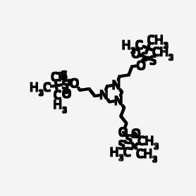 CC(C)(C)S(=O)(=S)OCCCN1CN(CCCOS(=O)(=S)C(C)(C)C)CN(CCCOS(=O)(=S)C(C)(C)C)C1